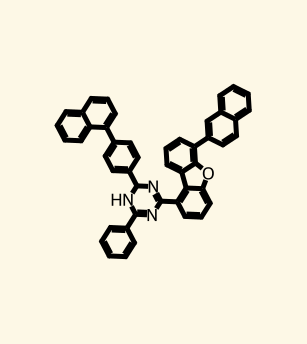 c1ccc(C2=NC(c3cccc4oc5c(-c6ccc7ccccc7c6)cccc5c34)=NC(c3ccc(-c4cccc5ccccc45)cc3)N2)cc1